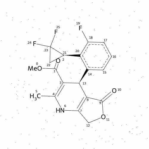 COC(=O)C1=C(C)NC2=C(C(=O)OC2)[C@@H]1c1cccc(F)c1[C@H]1CC1(F)F